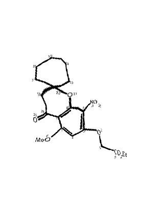 CCOC(=O)COc1cc(OC)c2c(c1[N+](=O)[O-])OC1(CCCCC1)CC2=O